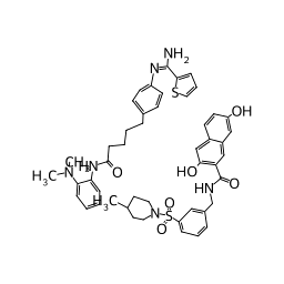 CC1CCN(S(=O)(=O)c2cccc(CNC(=O)c3cc4cc(O)ccc4cc3O)c2)CC1.CN(C)c1ccccc1NC(=O)CCCCc1ccc(/N=C(/N)c2cccs2)cc1